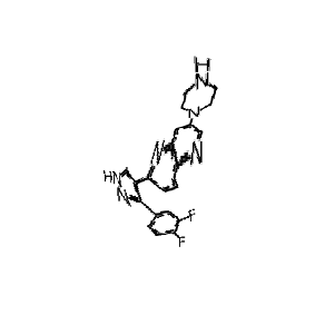 Fc1ccc(-c2n[nH]cc2-c2ccc3ncc(N4CCNCC4)cc3n2)cc1F